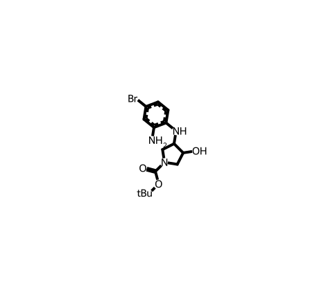 CC(C)(C)OC(=O)N1CC(O)C(Nc2ccc(Br)cc2N)C1